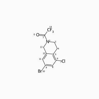 O=C(N1CCc2c(Cl)cc(Br)cc2C1)C(F)(F)F